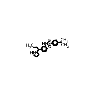 CCCC(c1cccc(NS(=O)(=O)c2ccc(C(C)C)cc2)c1)C1CCCN1